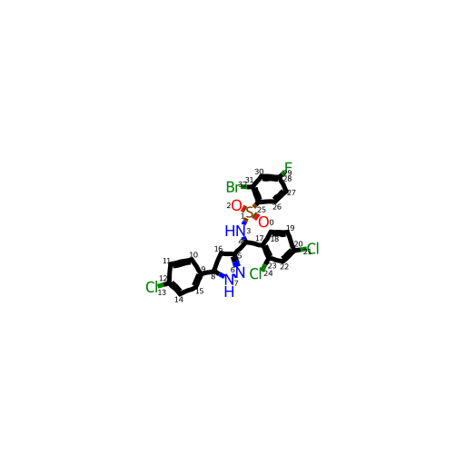 O=S(=O)(NC(C1=NNC(c2ccc(Cl)cc2)C1)c1ccc(Cl)cc1Cl)c1ccc(F)cc1Br